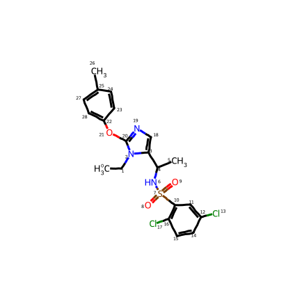 CCn1c(C(C)NS(=O)(=O)c2cc(Cl)ccc2Cl)cnc1Oc1ccc(C)cc1